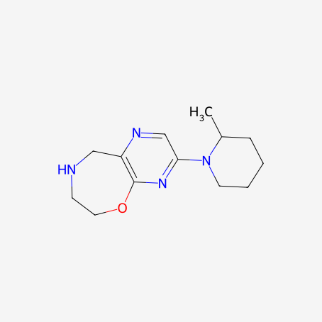 CC1CCCCN1c1cnc2c(n1)OCCNC2